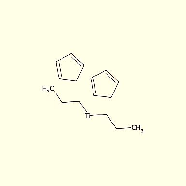 C1=CCC=C1.C1=CCC=C1.CC[CH2][Ti][CH2]CC